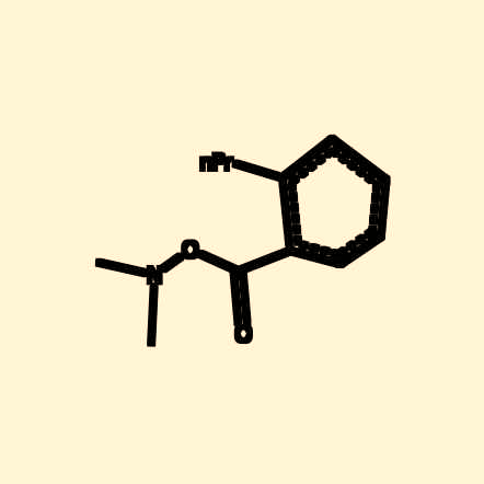 CCCc1ccccc1C(=O)ON(C)C